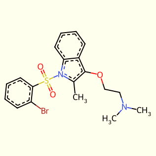 Cc1c(OCCN(C)C)c2ccccc2n1S(=O)(=O)c1ccccc1Br